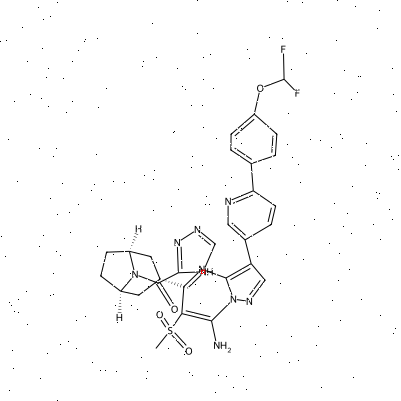 CS(=O)(=O)c1c([C@@H]2C[C@H]3CC[C@@H](C2)N3C(=O)c2nnc[nH]2)nc2c(-c3ccc(-c4ccc(OC(F)F)cc4)nc3)cnn2c1N